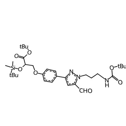 CC(C)(C)OC(=O)NCCCn1nc(-c2ccc(OCC(O[Si](C)(C)C(C)(C)C)C(=O)OC(C)(C)C)cc2)cc1C=O